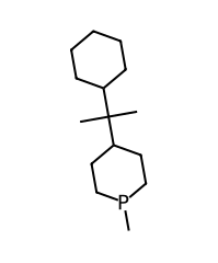 CP1CCC(C(C)(C)C2CCCCC2)CC1